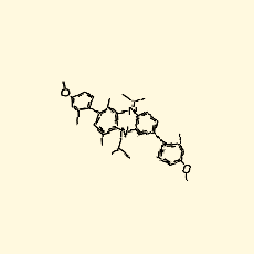 COc1ccc(-c2ccc3c(c2)N(C(C)C)c2c(C)cc(-c4ccc(OC)cc4C)c(C)c2N3C(C)C)c(C)c1